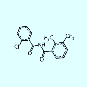 O=C(NC(=O)c1cccc(C(F)(F)F)c1C(F)(F)F)c1ccccc1Cl